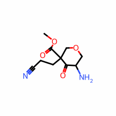 COC(=O)C1(CCC#N)COCC(N)C1=O